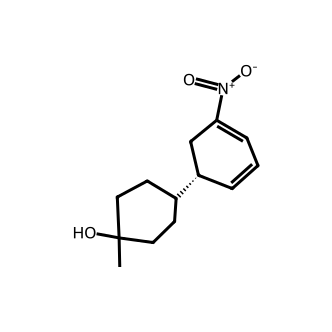 CC1(O)CCC([C@H]2C=CC=C([N+](=O)[O-])C2)CC1